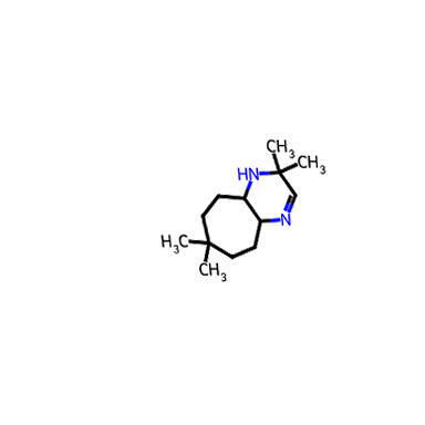 CC1(C)CCC2N=CC(C)(C)NC2CC1